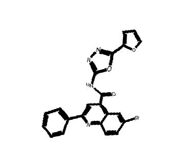 O=C(Nc1nnc(-c2ccco2)o1)c1cc(-c2ccccc2)nc2ccc(Br)cc12